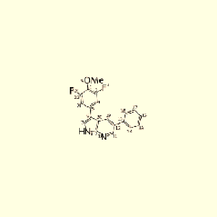 COc1c(F)cc(-c2c[nH]c3ncc(-c4ccccc4)cc23)cc1F